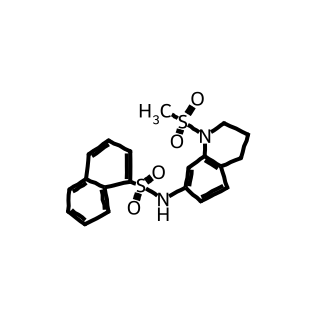 CS(=O)(=O)N1CCCc2ccc(NS(=O)(=O)c3cccc4ccccc34)cc21